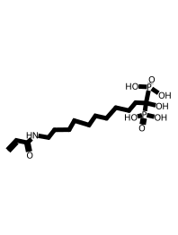 C=CC(=O)NCCCCCCCCCCC(O)(P(=O)(O)O)P(=O)(O)O